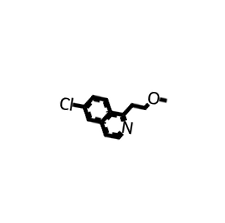 COCCc1nccc2cc(Cl)ccc12